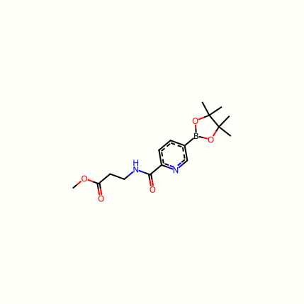 COC(=O)CCNC(=O)c1ccc(B2OC(C)(C)C(C)(C)O2)cn1